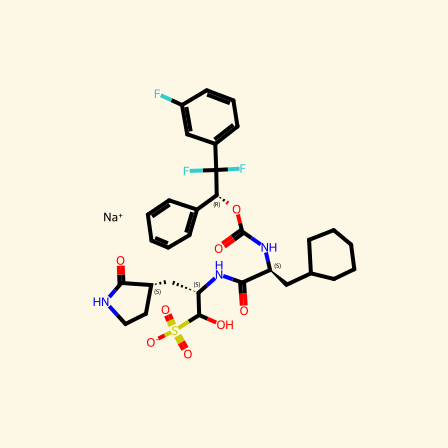 O=C(N[C@@H](CC1CCCCC1)C(=O)N[C@@H](C[C@@H]1CCNC1=O)C(O)S(=O)(=O)[O-])O[C@H](c1ccccc1)C(F)(F)c1cccc(F)c1.[Na+]